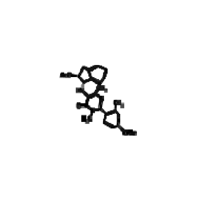 COc1ccc(-c2nc(C)c(N[C@H]3c4ccccc4C[C@@H]3OC(C)=O)c(=O)n2C)c(C)c1